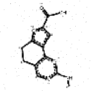 CNc1ncc2c(n1)-c1cc(C(=O)O)oc1CC2